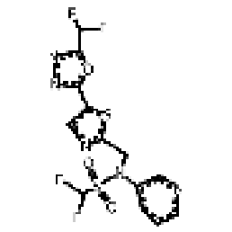 O=S(=O)(C(F)F)N(Cc1ncc(-c2nnc(C(F)F)o2)s1)c1cccnc1